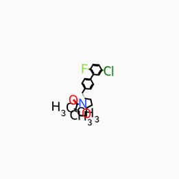 CC(C)(C)C(=O)N1C(=O)CC[C@H]1Cc1ccc(-c2cc(Cl)ccc2F)cc1